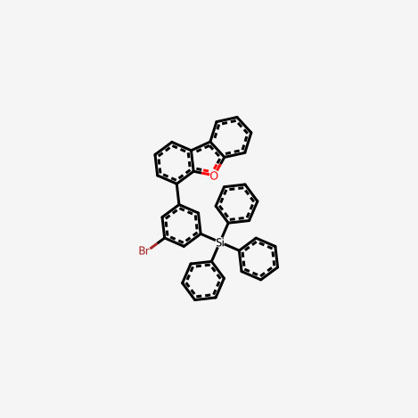 Brc1cc(-c2cccc3c2oc2ccccc23)cc([Si](c2ccccc2)(c2ccccc2)c2ccccc2)c1